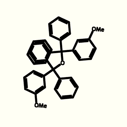 COc1cccc(C(OC(c2ccccc2)(c2ccccc2)c2cccc(OC)c2)(c2ccccc2)c2ccccc2)c1